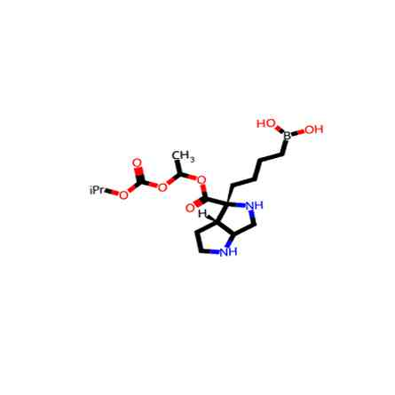 CC(C)OC(=O)OC(C)OC(=O)[C@]1(CCCCB(O)O)NCC2NCC[C@@H]21